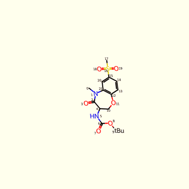 CN1C(=O)C(NC(=O)OC(C)(C)C)COc2ccc(S(C)(=O)=O)cc21